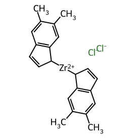 Cc1cc2c(cc1C)[CH]([Zr+2][CH]1C=Cc3cc(C)c(C)cc31)C=C2.[Cl-].[Cl-]